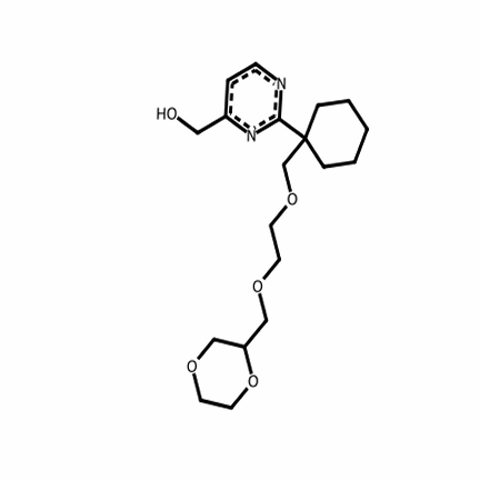 OCc1ccnc(C2(COCCOCC3COCCO3)CCCCC2)n1